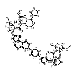 COC(=O)N[C@H](C(=O)N1[C@@H]2CC[C@@H](C2)[C@H]1c1ncc(-c2ccc(-c3ccc4c(ccc5nc([C@@H]6C[C@H]7[C@@H](C)[C@H]7N6C(=O)[C@@H](NC(=O)OC)C6CCOC(C7CCCC7)C6)[nH]c54)c3)cc2)[nH]1)C(C)C